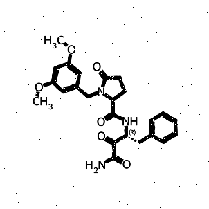 COc1cc(CN2C(=O)CCC2C(=O)N[C@H](Cc2ccccc2)C(=O)C(N)=O)cc(OC)c1